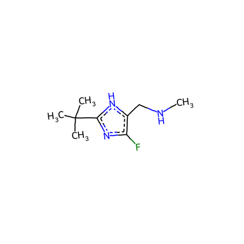 CNCc1[nH]c(C(C)(C)C)nc1F